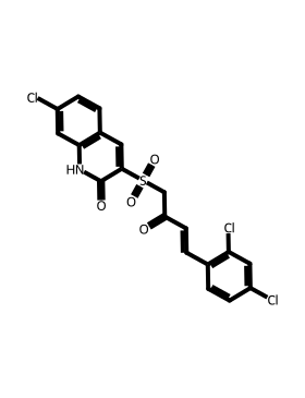 O=C(C=Cc1ccc(Cl)cc1Cl)CS(=O)(=O)c1cc2ccc(Cl)cc2[nH]c1=O